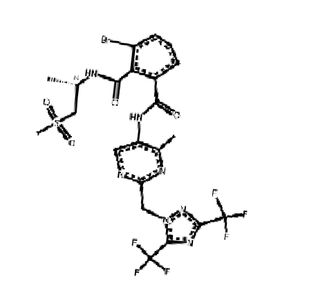 Cc1nc(Cn2nc(C(F)(F)F)nc2C(F)(F)F)ncc1NC(=O)c1cccc(Br)c1C(=O)N[C@@H](C)CS(C)(=O)=O